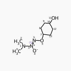 CN(C)/[N+]([O-])=N/OC1CCC(O)CC1